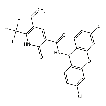 C=Cc1cc(C(=O)NC2c3ccc(Cl)cc3Oc3cc(Cl)ccc32)c(=O)[nH]c1C(F)(F)F